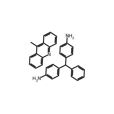 Cc1c2ccccc2nc2ccccc12.Nc1ccc(C(c2ccccc2)c2ccc(N)cc2)cc1